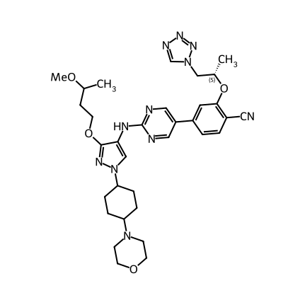 COC(C)CCOc1nn(C2CCC(N3CCOCC3)CC2)cc1Nc1ncc(-c2ccc(C#N)c(O[C@@H](C)Cn3cnnn3)c2)cn1